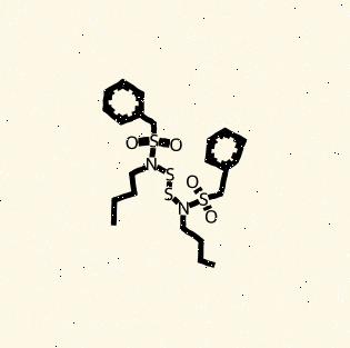 CCCCN(SSN(CCCC)S(=O)(=O)Cc1ccccc1)S(=O)(=O)Cc1ccccc1